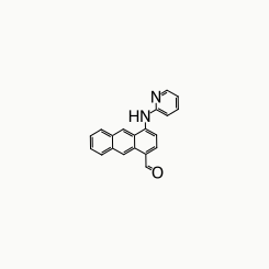 O=Cc1ccc(Nc2ccccn2)c2cc3ccccc3cc12